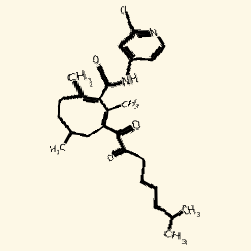 C/C1=C(C(=O)Nc2ccnc(Cl)c2)/C(C)=C(/C(=O)C(=O)CCCCC(C)C)CC(C)CC1